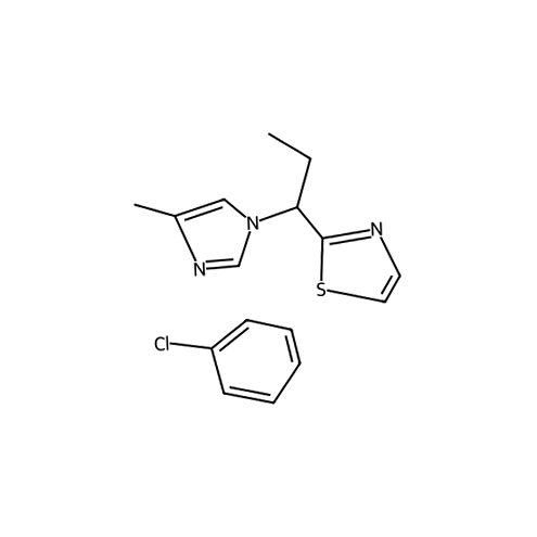 CCC(c1nccs1)n1cnc(C)c1.Clc1ccccc1